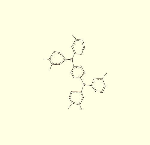 Cc1cccc(N(c2ccc(N(c3cccc(C)c3)c3ccc(C)c(C)c3)cc2)c2ccc(C)c(C)c2)c1